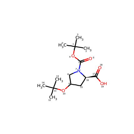 CC(C)(C)OC(=O)N1CC(OC(C)(C)C)C[C@@H]1C(=O)O